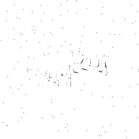 CCNC(=O)[C@@H]1C[C@@H]1C(=O)Nc1cc2cc(-c3cnccc3C)nc(N)c2cn1